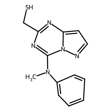 CN(c1ccccc1)c1nc(CS)nc2ccnn12